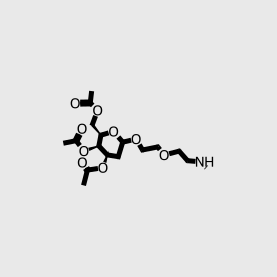 CNCCOCCOC1C[C@@H](OC(C)=O)[C@@H](OC(C)=O)[C@@H](COC(C)=O)O1